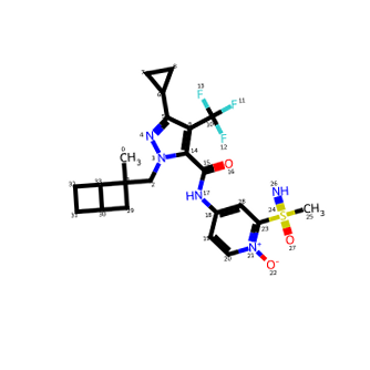 CC1(Cn2nc(C3CC3)c(C(F)(F)F)c2C(=O)Nc2cc[n+]([O-])c(S(C)(=N)=O)c2)CC2CCC21